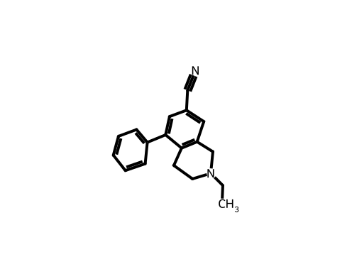 CCN1CCc2c(cc(C#N)cc2-c2ccccc2)C1